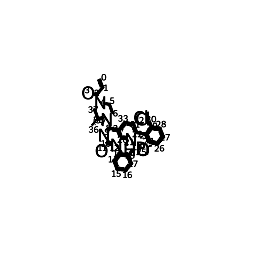 C=CC(=O)N1CCN(c2nc(=O)n(-c3ccccc3C(C)C)c3nc(-c4c(O)cccc4Cl)c(Cl)cc23)[C@@H](C)C1